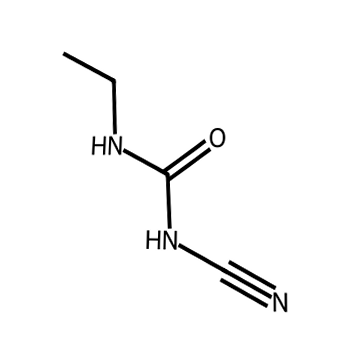 CCNC(=O)NC#N